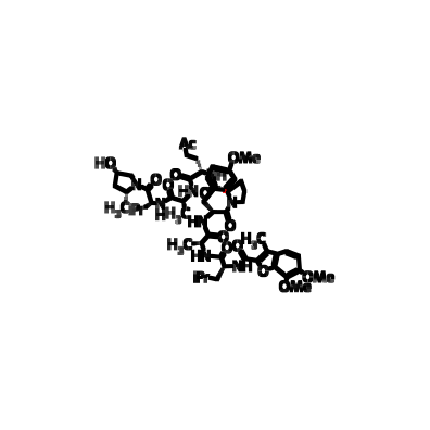 COc1ccc(C[C@H](NC(=O)[C@H](C)NC(=O)[C@H](CC(C)C)NC(=O)c2oc3c(OC)c(OC)ccc3c2C)C(=O)N2CCC[C@H]2C(=O)N[C@@H](CCC(C)=O)C(=O)N[C@@H](C)C(=O)N[C@H](C(=O)N2C[C@H](O)C[C@H]2C)C(C)C)cc1